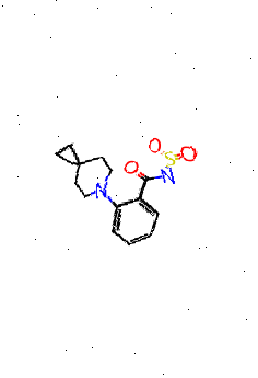 O=C(N=S(=O)=O)c1ccccc1N1CCC2(CC1)CC2